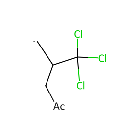 [CH2]C(CC(C)=O)C(Cl)(Cl)Cl